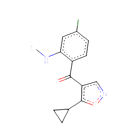 CCNc1cc(Cl)ccc1C(=O)c1cnoc1C1CC1